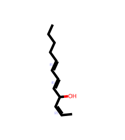 C/C=C\C(O)/C=C/C=C/CCCC